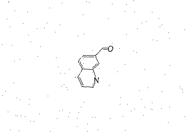 O=Cc1ccc2[c]ccnc2c1